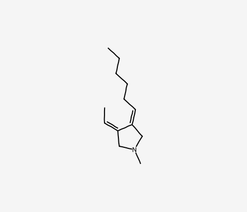 C/C=C1/CN(C)C/C1=C/CCCCC